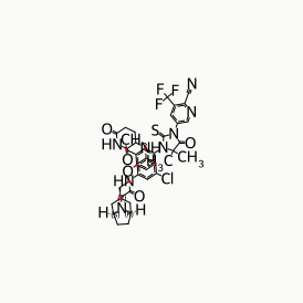 CCc1cc(N2C(=S)N(c3cnc(C#N)c(C(F)(F)F)c3)C(=O)C2(C)C)ccc1OCC[C@H]1C[C@H]2CC[C@@H](C1)N2CC(=O)Nc1cc(Cl)cc(NC2CCC(=O)NC2=O)c1